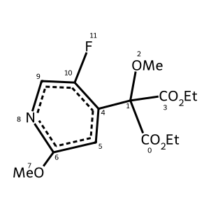 CCOC(=O)C(OC)(C(=O)OCC)c1cc(OC)ncc1F